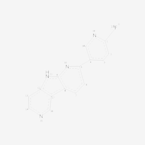 [18F]c1ccc(-c2ccc3c(n2)[nH]c2ccncc23)cn1